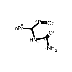 CCCC(NC(N)=O)P=O